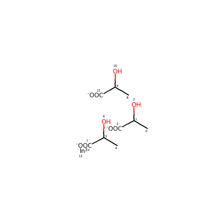 CC(O)C(=O)[O-].CC(O)C(=O)[O-].CC(O)C(=O)[O-].[In+3]